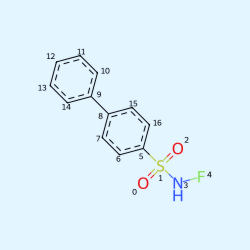 O=S(=O)(NF)c1ccc(-c2ccccc2)cc1